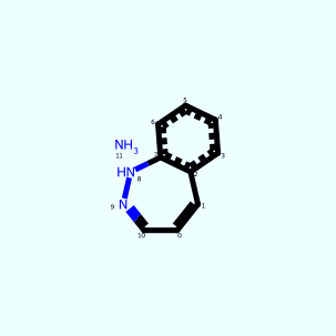 C1=Cc2ccccc2NN=C1.N